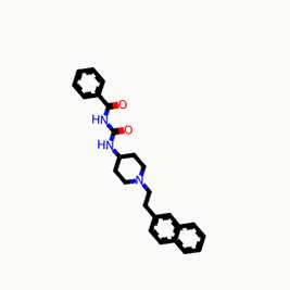 O=C(NC(=O)c1ccccc1)NC1CCN(CCc2ccc3ccccc3c2)CC1